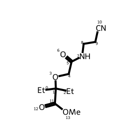 CCC(CC)(OCC(=O)NCCC#N)C(=O)OC